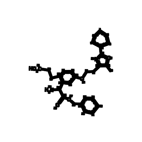 Cc1oc(-c2ccccc2)nc1CCOc1ccc(CCC(=O)O)c(C(N)C(=O)OCc2ccccc2)c1